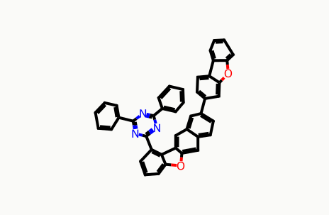 c1ccc(-c2nc(-c3ccccc3)nc(-c3cccc4oc5cc6ccc(-c7ccc8c(c7)oc7ccccc78)cc6cc5c34)n2)cc1